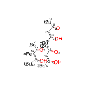 CC(C)(C)C(=O)C=C(O)C(C)(C)C.CC(C)(C)C(=O)C=C(O)C(C)(C)C.CC(C)(C)C(=O)C=C(O)C(C)(C)C.[Fe]